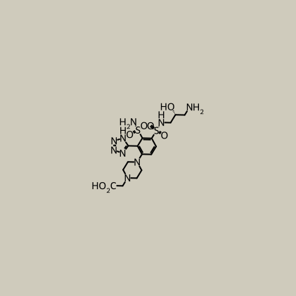 NC[C@@H](O)CNS(=O)(=O)c1ccc(N2CCN(CC(=O)O)CC2)c(-c2nnn[nH]2)c1S(N)(=O)=O